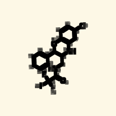 O=C(NCC1Nc2cc(Cl)ccc2OC1c1ccccc1)C(F)(F)F